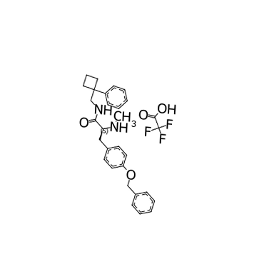 CN[C@@H](Cc1ccc(OCc2ccccc2)cc1)C(=O)NCC1(c2ccccc2)CCC1.O=C(O)C(F)(F)F